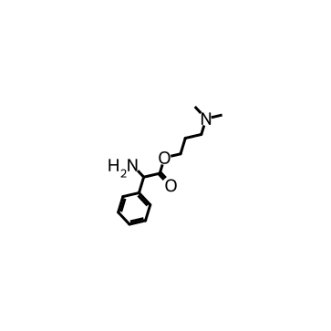 CN(C)CCCOC(=O)C(N)c1ccccc1